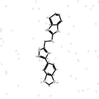 c1ccc2oc(SCc3nc(-c4ccc5c(c4)OCO5)no3)nc2c1